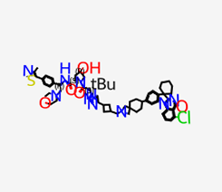 Cc1ncsc1-c1ccc([C@H](CN2CCOCC2)NC(=O)[C@@H]2C[C@@H](O)CN2C(=O)[C@@H](n2cc(C3CC(CN4CC5(CCC(c6ccc7c(c6)-n6c(nc(=O)c8c(Cl)cccc86)C76CCCCC6)CC5)C4)C3)nn2)C(C)(C)C)cc1